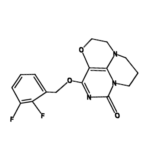 O=c1nc(OCc2cccc(F)c2F)c2c3n1CCCN3CCO2